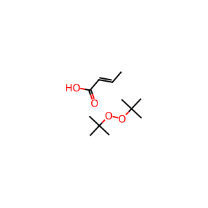 C/C=C/C(=O)O.CC(C)(C)OOC(C)(C)C